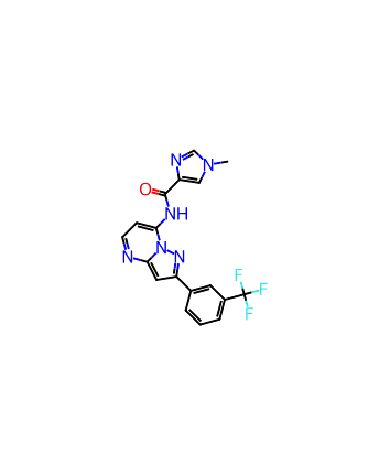 Cn1cnc(C(=O)Nc2ccnc3cc(-c4cccc(C(F)(F)F)c4)nn23)c1